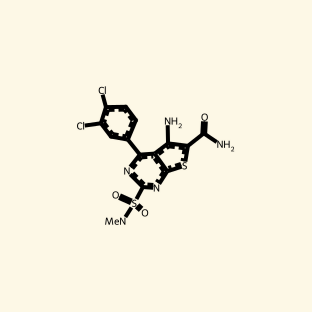 CNS(=O)(=O)c1nc(-c2ccc(Cl)c(Cl)c2)c2c(N)c(C(N)=O)sc2n1